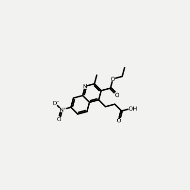 CCOC(=O)c1c(C)nc2cc([N+](=O)[O-])ccc2c1CCC(=O)O